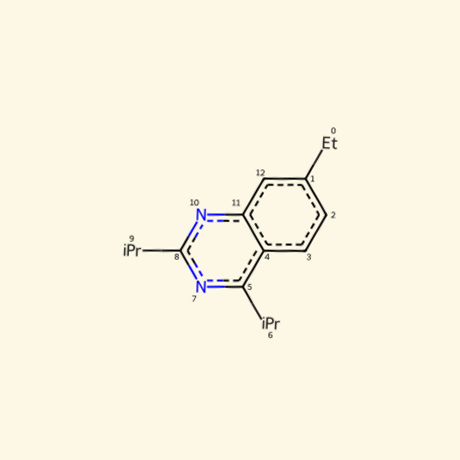 CCc1ccc2c(C(C)C)nc(C(C)C)nc2c1